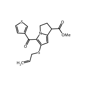 C=CCSc1cc2n(c1C(=O)c1ccsc1)CCC2C(=O)OC